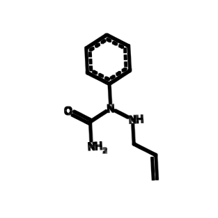 C=CCNN(C(N)=O)c1ccccc1